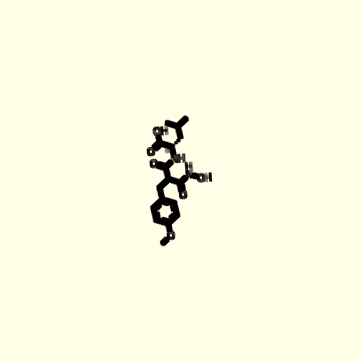 COc1ccc(CC(C(=O)NO)C(=O)N[C@@H](CC(C)C)C(=O)O)cc1